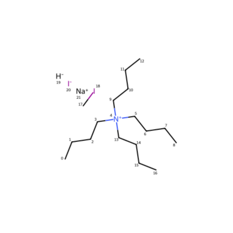 CCCC[N+](CCCC)(CCCC)CCCC.CI.[H-].[I-].[Na+]